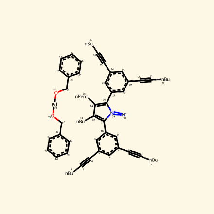 CCCCC#Cc1cc(C#CCCCC)cc(C2=C(CCCC)C(CCCCC)=C(c3cc(C#CCCCC)cc(C#CCCCC)c3)[N+]2=[N-])c1.c1ccc(C[O][Pd][O]Cc2ccccc2)cc1